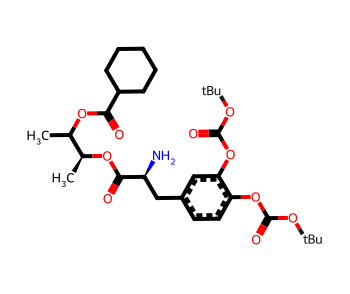 CC(OC(=O)C1CCCCC1)[C@H](C)OC(=O)[C@@H](N)Cc1ccc(OC(=O)OC(C)(C)C)c(OC(=O)OC(C)(C)C)c1